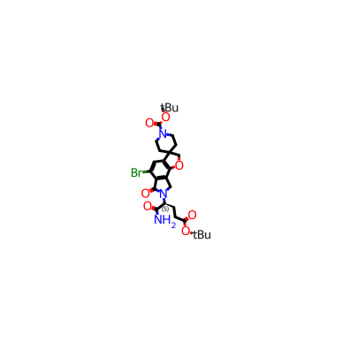 CC(C)(C)OC(=O)CC[C@@H](C(N)=O)N1Cc2c3c(cc(Br)c2C1=O)C1(CCN(C(=O)OC(C)(C)C)CC1)CO3